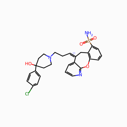 NS(=O)(=O)c1cccc2c1C/C(=C/CCN1CCC(O)(c3ccc(Cl)cc3)CC1)c1cccnc1O2